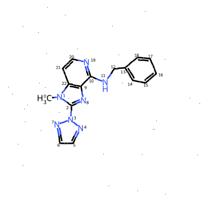 Cn1c(-n2nccn2)nc2c(NCc3ccccc3)nccc21